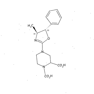 C[C@@H]1N=C(N2CCN(C(=O)O)C(C(=O)O)C2)O[C@H]1c1ccccc1